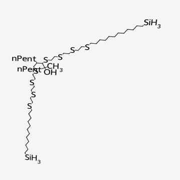 CCCCCC(CSCCSCCSCCSCCCCCCCCCCCC[SiH3])C(SCCSCCSCCSCCCCCCCCCCCC[SiH3])C(C)(O)CCCCC